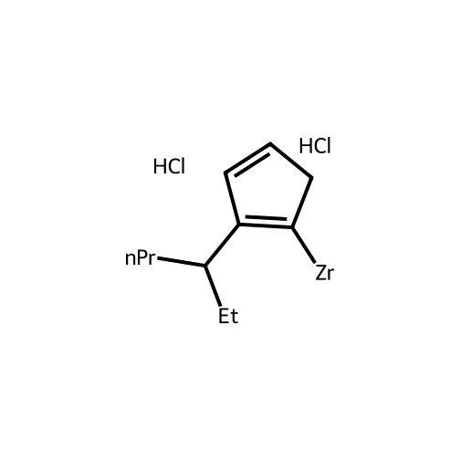 CCCC(CC)C1=[C]([Zr])CC=C1.Cl.Cl